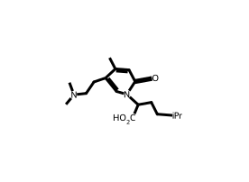 Cc1cc(=O)n(C(CCC(C)C)C(=O)O)cc1CCN(C)C